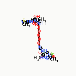 COc1cc(C(=O)NC2CCN(CCOCCOCCOCCOCCOCC(=O)N[C@H](C(=O)N3CC(O)CC3C(=O)NCc3ccc(-c4scnc4C)cc3)C(C)(C)C)CC2)c(F)cc1Nc1ncc2c(n1)N(C1CCCC1)CC(F)(F)C(=O)N2C